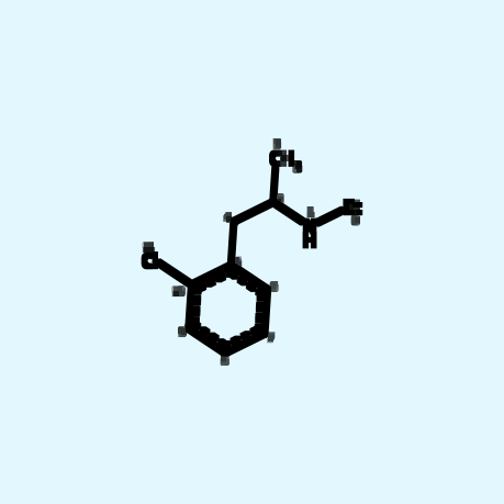 CCNC(C)Cc1ccccc1Cl